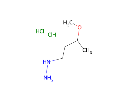 COC(C)CCNN.Cl.Cl